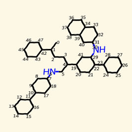 CC(CCC(CNC1CCC(C2CCCCC2)CC1)C1CCC(C2CCCCC2)C(NC2CCC3CCCCC3C2)C1)C1CCCCC1